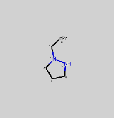 [CH2]CCCN1CCCN1